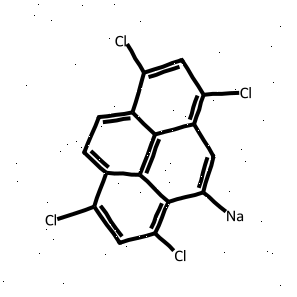 [Na][c]1cc2c(Cl)cc(Cl)c3ccc4c(Cl)cc(Cl)c1c4c32